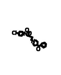 O=C(c1ccccc1)C1CCN(CCC2CN(c3ccc(Cl)cc3)C(=O)O2)CC1